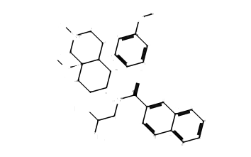 COc1cccc([C@@]23CCN(C)C[C@@]2(OC)CC[C@@H](N(CC(C)C)C(=O)c2ccc4ccccc4c2)C3)c1